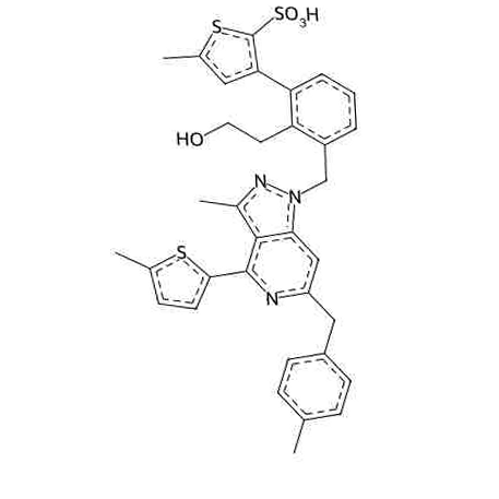 Cc1ccc(Cc2cc3c(c(C)nn3Cc3cccc(-c4cc(C)sc4S(=O)(=O)O)c3CCO)c(-c3ccc(C)s3)n2)cc1